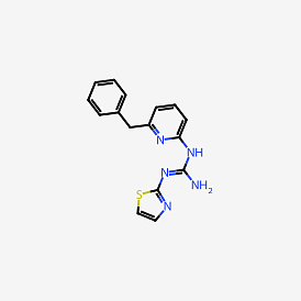 NC(=Nc1nccs1)Nc1cccc(Cc2ccccc2)n1